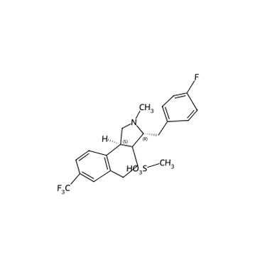 CN1C[C@@H]2c3ccc(C(F)(F)F)cc3CCC2[C@H]1Cc1ccc(F)cc1.CS(=O)(=O)O